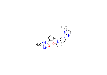 CC(=N)NC(=O)c1cccc(CN2C(=O)CCCC23CCN(c2nccc(C)n2)CC3)c1